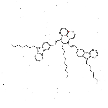 CCCCCCCCCC(N(/N=C/c1ccc2c(c1)c1ccccc1n2CCCCCCC)c1ccccc1)N(/N=C/c1ccc2c(c1)c1ccccc1n2CCCCCCC)c1ccccc1